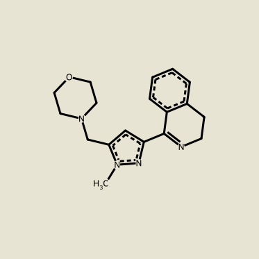 Cn1nc(C2=NCCc3ccccc32)cc1CN1CCOCC1